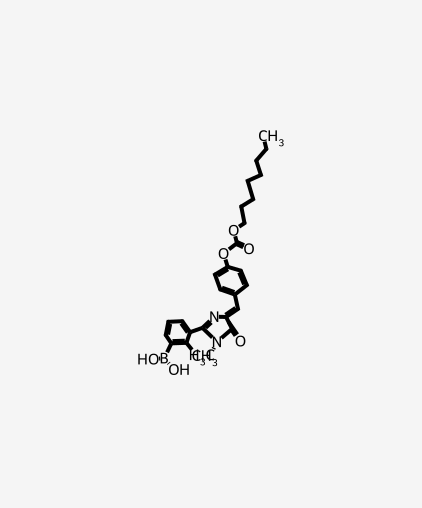 CCCCCCCCOC(=O)Oc1ccc(/C=C2\N=C(c3cccc(B(O)O)c3C)N(C)C2=O)cc1